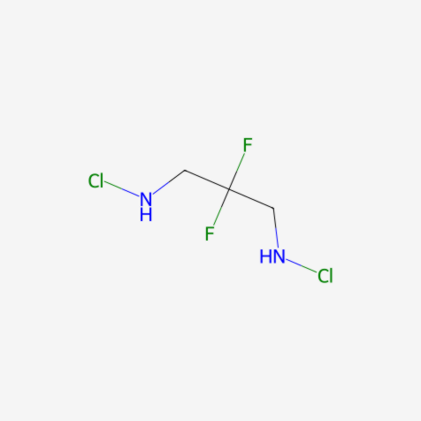 FC(F)(CNCl)CNCl